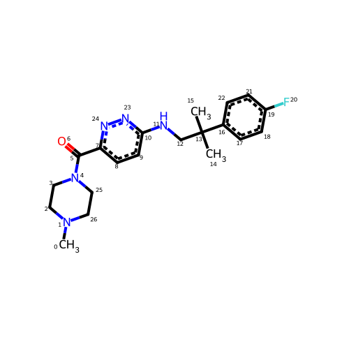 CN1CCN(C(=O)c2ccc(NCC(C)(C)c3ccc(F)cc3)nn2)CC1